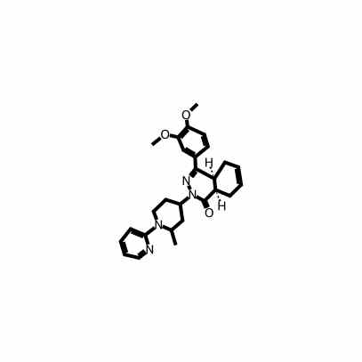 COc1ccc(C2=NN(C3CCN(c4ccccn4)C(C)C3)C(=O)[C@@H]3CC=CC[C@H]23)cc1OC